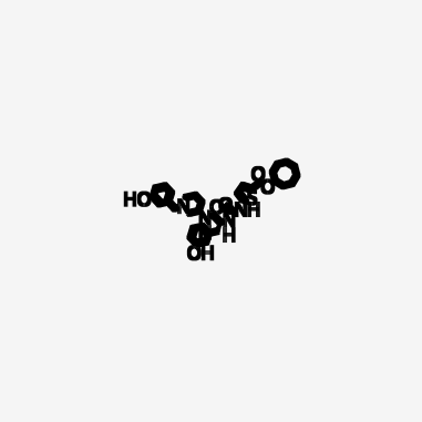 O=C(Nc1ccc(C(=O)OC2CCCCCCC2)s1)N[C@@H](Cc1cccc(O)c1)C(=O)N[C@H]1CCCN(Cc2cccc(O)c2)C1